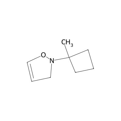 CC1(N2CC=CO2)CCC1